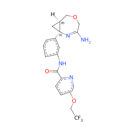 NC1=N[C@@]2(c3cccc(NC(=O)c4ccc(OCC(F)(F)F)cn4)c3)C[C@H]2COC1